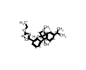 CCOc1noc(-c2cccc([C@@](O)(c3ccc(C(C)C)cc3)C3(C)CN(C)C3)c2)n1